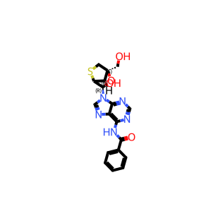 O=C(Nc1ncnc2c1ncn2[C@@H]1O[C@]2(CO)CSC1[C@@H]2O)c1ccccc1